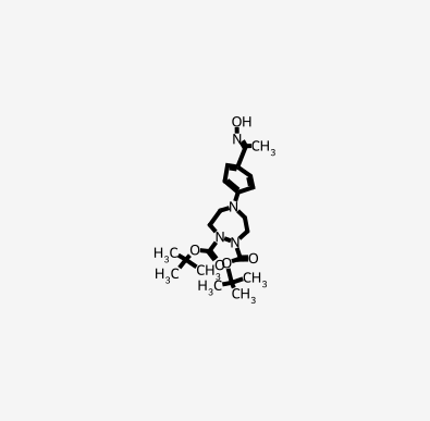 CC(=NO)c1ccc(N2CCN(C(=O)OC(C)(C)C)N(C(=O)OC(C)(C)C)CC2)cc1